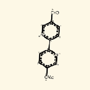 COc1ccc(-c2ccc(C=O)cn2)nc1